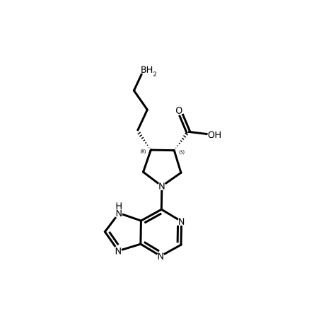 BCCC[C@H]1CN(c2ncnc3nc[nH]c23)C[C@H]1C(=O)O